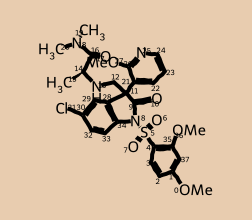 COc1ccc(S(=O)(=O)N2C(=O)C(CN[C@@H](C)C(=O)N(C)C)(c3cccnc3OC)c3cc(Cl)ccc32)c(OC)c1